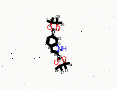 CC1(C)OB(c2ccc3cc(B4OC(C)(C)C(C)(C)O4)[nH]c3c2)OC1(C)C